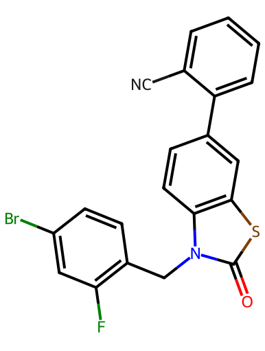 N#Cc1ccccc1-c1ccc2c(c1)sc(=O)n2Cc1ccc(Br)cc1F